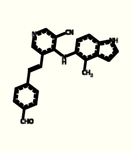 Cc1c(Nc2c(C#N)cncc2C=Cc2ccc(C=O)cc2)ccc2[nH]ccc12